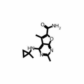 Cc1nc(NC2(C)CC2)c2c(C)c(C(N)=O)oc2n1